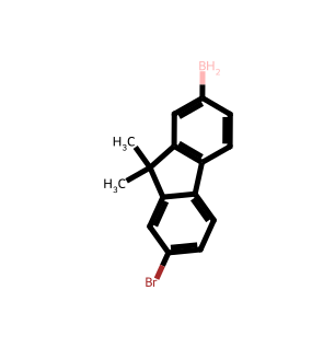 Bc1ccc2c(c1)C(C)(C)c1cc(Br)ccc1-2